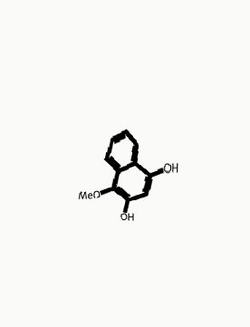 COc1c(O)cc(O)c2ccccc12